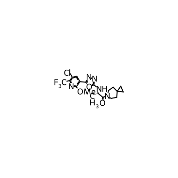 COc1nc(C(F)(F)F)c(Cl)cc1-c1nnc(N[C@@H](C)C(=O)N2CCC3(CC2)CC3)o1